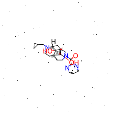 O=C(c1ncccn1)N1CC[C@]23CCN(CC4CC4)[C@H](Cc4ccc(O)cc42)[C@]3(O)CC1